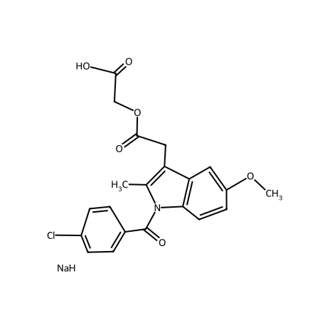 COc1ccc2c(c1)c(CC(=O)OCC(=O)O)c(C)n2C(=O)c1ccc(Cl)cc1.[NaH]